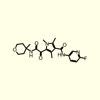 Cc1c(C(=O)Nc2ccc(F)nc2)c(C)n(C)c1C(=O)C(=O)NC1(C)CCOCC1